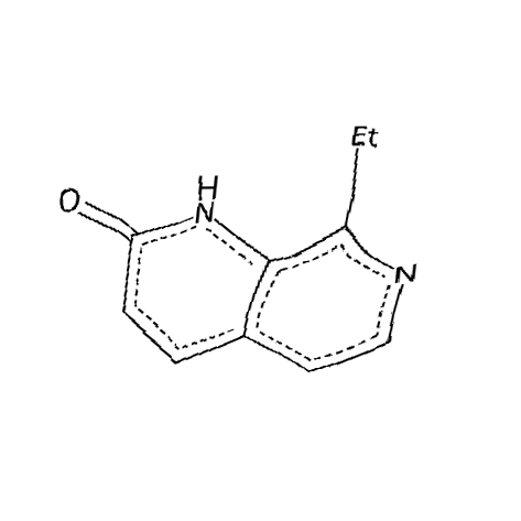 CCc1nccc2ccc(=O)[nH]c12